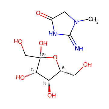 CN1CC(=O)NC1=N.OC[C@H]1O[C@](O)(CO)[C@@H](O)[C@@H]1O